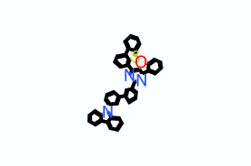 c1cc(-c2cccc(-n3c4ccccc4c4ccccc43)c2)cc(-c2nc(-c3cccc4c3sc3ccccc34)c3oc4ccccc4c3n2)c1